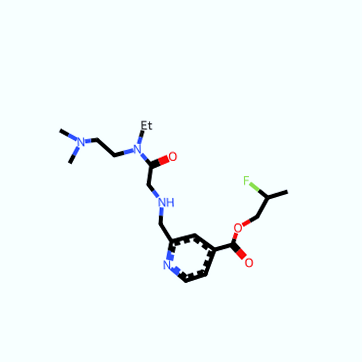 CCN(CCN(C)C)C(=O)CNCc1cc(C(=O)OCC(C)F)ccn1